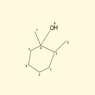 C[C]1CCCCC1(C)O